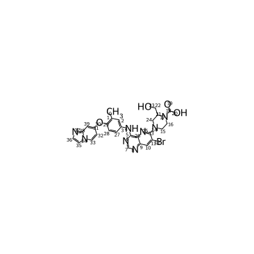 Cc1cc(Nc2ncnc3cc(Br)c(N4CCN(C(=O)O)C(CO)C4)nc23)ccc1Oc1ccn2ccnc2c1